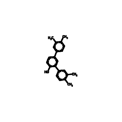 Cc1ccc(-c2ccc(O)c(-c3ccc(C)c(C)c3)c2)cc1C